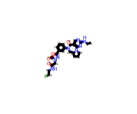 CCNc1ncc2c(n1)N1CCCC1CN(c1cccc(-c3nn(CC(=O)NCCF)c(=O)o3)c1)C2=O